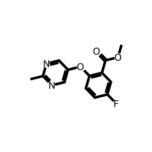 COC(=O)c1cc(F)ccc1Oc1cnc(C)nc1